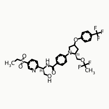 CCS(=O)(=O)c1ccc([C@H](CO)NC(=O)c2ccc(N3CC(Oc4ccc(C(F)(F)F)cc4)C[C@H]3COC(C)(F)F)cc2)nc1